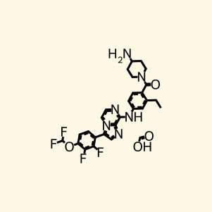 CCc1cc(Nc2nccn3c(-c4ccc(OC(F)F)c(F)c4F)cnc23)ccc1C(=O)N1CCC(N)CC1.O=CO